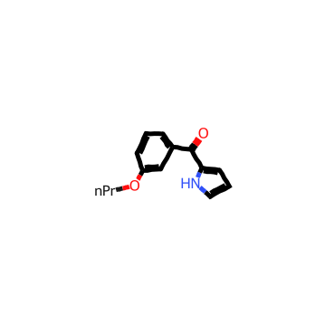 CCCOc1cccc(C(=O)c2ccc[nH]2)c1